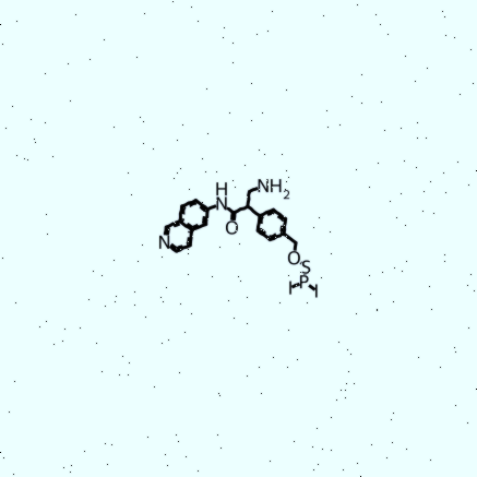 NCC(C(=O)Nc1ccc2cnccc2c1)c1ccc(COSP(I)I)cc1